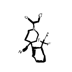 N#CC1(c2ccccc2C(F)(F)F)CCN(C(=O)CCl)CC1